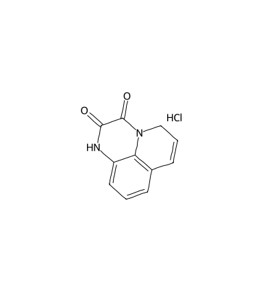 Cl.O=c1[nH]c2cccc3c2n(c1=O)CC=C3